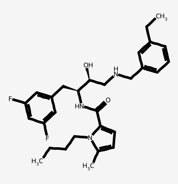 CCCCn1c(C)ccc1C(=O)N[C@@H](Cc1cc(F)cc(F)c1)[C@@H](O)CNCc1cccc(CC)c1